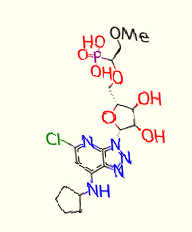 COC[C@@H](OC[C@H]1O[C@@H](n2nnc3c(NC4CCCC4)cc(Cl)nc32)[C@H](O)[C@@H]1O)P(=O)(O)O